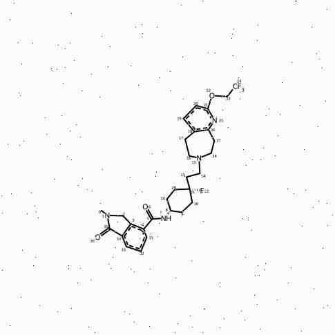 CN1Cc2c(C(=O)N[C@H]3CC[C@](F)(CCN4CCc5ccc(OCC(F)(F)F)nc5CC4)CC3)cccc2C1=O